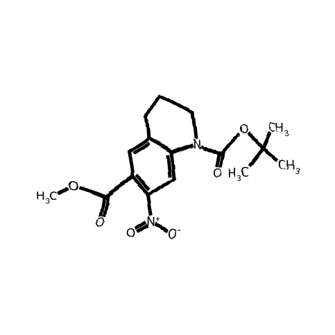 COC(=O)c1cc2c(cc1[N+](=O)[O-])N(C(=O)OC(C)(C)C)CCC2